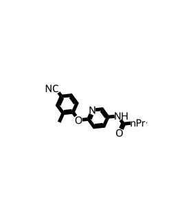 CC[CH]C(=O)Nc1ccc(Oc2ccc(C#N)cc2C)nc1